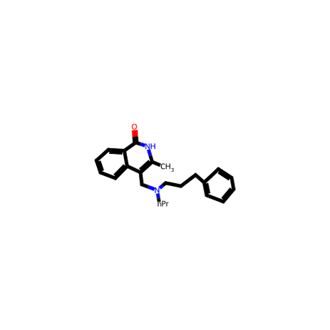 CCCN(CCCc1ccccc1)Cc1c(C)[nH]c(=O)c2ccccc12